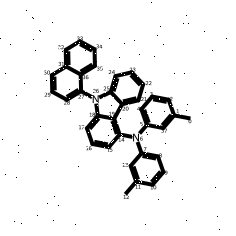 Cc1cccc(N(c2cccc(C)c2)c2cccc3c2c2ccccc2n3-c2cccc3ccccc23)c1